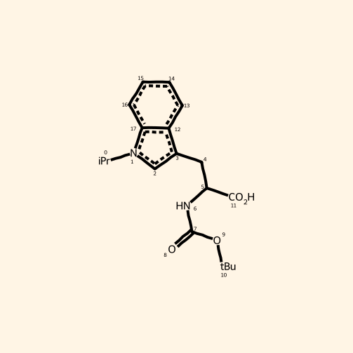 CC(C)n1cc(CC(NC(=O)OC(C)(C)C)C(=O)O)c2ccccc21